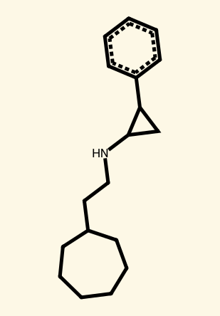 c1ccc(C2CC2NCCC2CCCCCC2)cc1